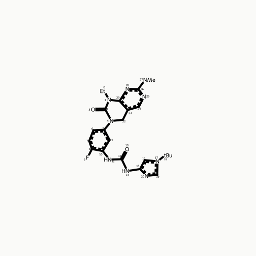 CCN1C(=O)N(c2ccc(F)c(NC(=O)Nc3cn(C(C)(C)C)cn3)c2)Cc2cnc(NC)nc21